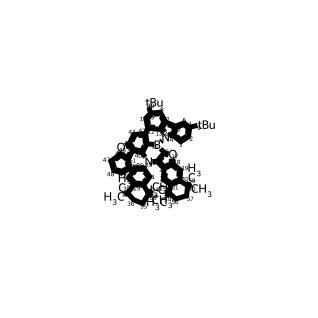 CC(C)(C)c1ccc2c(c1)c1cc(C(C)(C)C)cc3c1n2B1c2oc4cc5c(cc4c2N(c2ccc4c(c2)C(C)(C)CCC4(C)C)c2c1c-3cc1oc3ccccc3c21)C(C)(C)CCC5(C)C